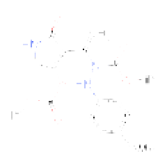 C=C(C1=C(OC(=O)OC(C)C)CNC1=O)N(Nc1ccc(OC)cc1)C(=O)OC(C)C